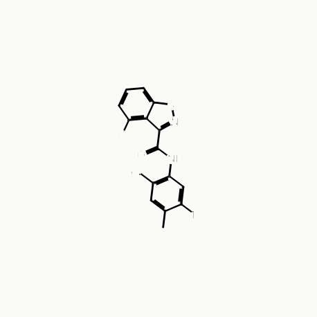 Cc1cc(Cl)c(NC(=O)c2nsc3cccc(F)c23)cc1F